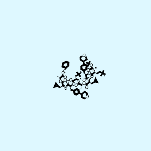 C[C@@H](OC(=O)[C@H](CC1CC1)N(C)C(=O)[C@@H](Cc1ccc(C2CCOCC2)cc1)OC(=O)[C@H](CC(C)(C)F)N(C)C(=O)[C@@H](C)OC(=O)[C@H](CC1CC1)N(C)C(=O)[C@@H](Cc1ccc(C2CCOCC2)cc1)OC(=O)[C@H](CCC(C)(C)F)N(C)C(=O)OC(C)(C)C)C(=O)OCc1ccccc1